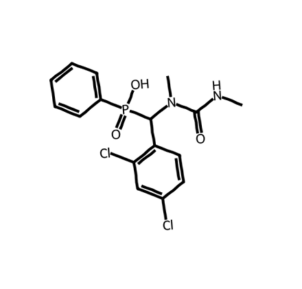 CNC(=O)N(C)C(c1ccc(Cl)cc1Cl)P(=O)(O)c1ccccc1